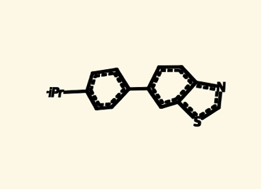 C[C](C)c1ccc(-c2ccc3ncsc3c2)cc1